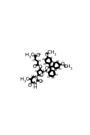 COc1ccc(C(OC[C@H]2O[C@@H](n3cc(C)c(=O)[nH]c3=O)C[C@H]2OC(=O)CCC(C)=O)(c2ccccc2)c2ccc(OC)cc2)cc1